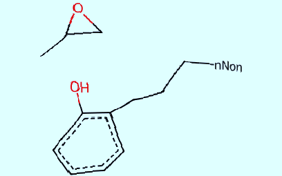 CC1CO1.CCCCCCCCCCCCc1ccccc1O